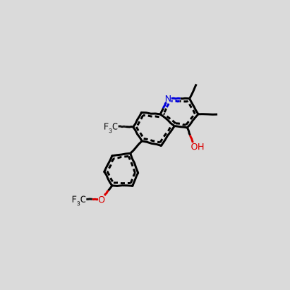 Cc1nc2cc(C(F)(F)F)c(-c3ccc(OC(F)(F)F)cc3)cc2c(O)c1C